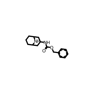 O=C(NC1CC2CCCC(C1)N2)OCc1ccccc1